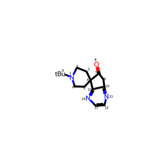 CC(C)(C)N1CCC2(CC1)C(=O)Cc1nccnc12